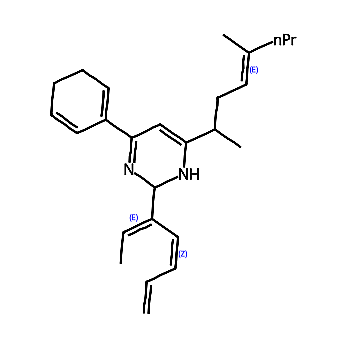 C=C/C=C\C(=C/C)C1N=C(C2=CCCC=C2)C=C(C(C)C/C=C(\C)CCC)N1